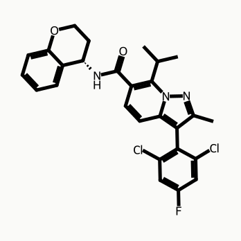 Cc1nn2c(C(C)C)c(C(=O)N[C@H]3CCOc4ccccc43)ccc2c1-c1c(Cl)cc(F)cc1Cl